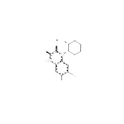 CC(=O)O[C@H]1CCCC[C@H]1n1c(=O)c(=O)[nH]c2cc(C(F)(F)F)c([N+](=O)[O-])cc21